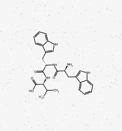 CC(C)[C@H](NC(=O)[C@H](Cc1c[nH]c2ccccc12)NC(=O)[C@@H](N)Cc1c[nH]c2ccccc12)C(=O)O